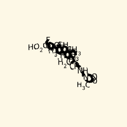 C=C(C)[C@H](CCCNCCN1CCS(=O)(=O)CC(C)C1)[C@H]1CCC[C@]2(C)[C@@H]1CC[C@@H]1[C@@]3(C)CC=C(C4=CC[C@](CF)(C(=O)O)CC4)C(C)(C)[C@@H]3CC[C@]12C